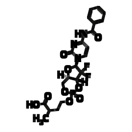 CC(CCOP1(=O)OC[C@H]2O[C@@H](n3ccc(NC(=O)c4ccccc4)nc3=O)C(F)(F)[C@@H]2O1)C(=O)O